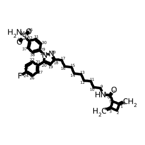 C=C1CC(=C)C1C(=O)NCCCCCCCCCc1cc(-c2ccc(F)cc2)n(-c2ccc(S(N)(=O)=O)cc2)n1